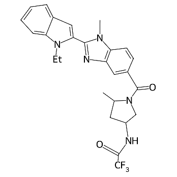 CCn1c(-c2nc3cc(C(=O)N4CC(NC(=O)C(F)(F)F)CC4C)ccc3n2C)cc2ccccc21